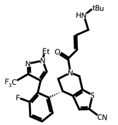 CCn1cc(-c2c(F)cccc2[C@@H]2CN(C(=O)/C=C/CNC(C)(C)C)Cc3sc(C#N)cc32)c(C(F)(F)F)n1